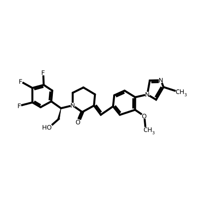 COc1cc(/C=C2\CCCN([C@@H](CO)c3cc(F)c(F)c(F)c3)C2=O)ccc1-n1cnc(C)c1